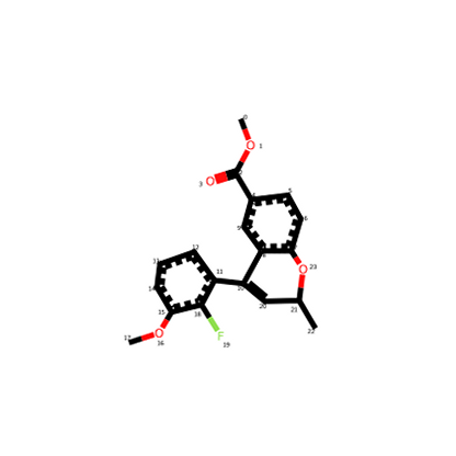 COC(=O)c1ccc2c(c1)C(c1cccc(OC)c1F)=CC(C)O2